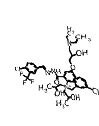 [CH]c1cccc(C[N+](CC(C)O)(CC(C)O)c2ccc(OCC(O)CN(CC)CC)cc2C(=O)NN=Cc2ccc(Cl)c(C(F)(F)F)c2)c1